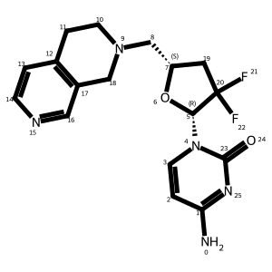 Nc1ccn([C@@H]2O[C@H](CN3CCc4ccncc4C3)CC2(F)F)c(=O)n1